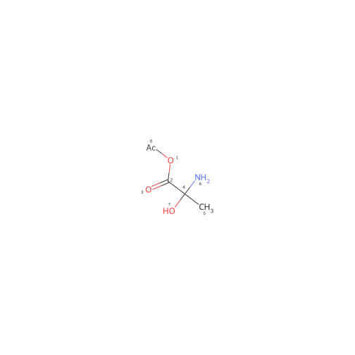 CC(=O)OC(=O)C(C)(N)O